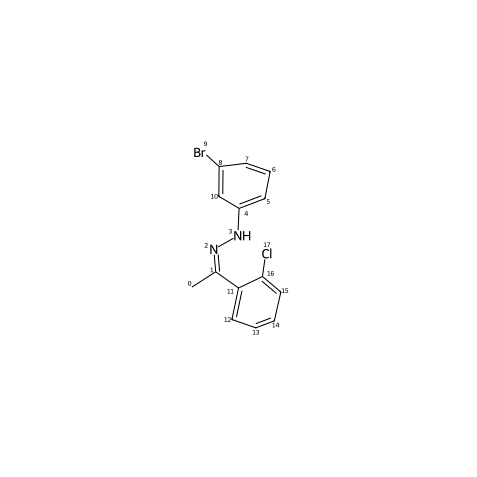 CC(=NNc1cccc(Br)c1)c1ccccc1Cl